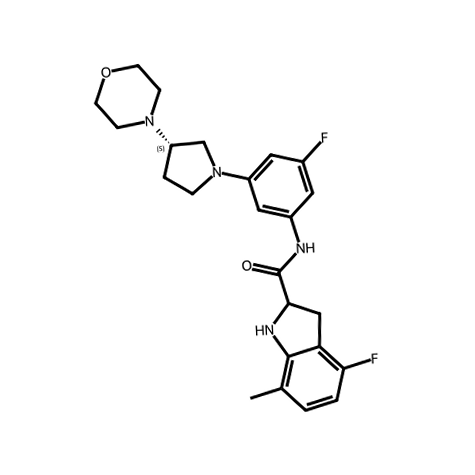 Cc1ccc(F)c2c1NC(C(=O)Nc1cc(F)cc(N3CC[C@H](N4CCOCC4)C3)c1)C2